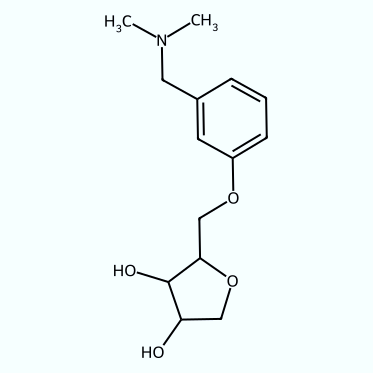 CN(C)Cc1cccc(OCC2OCC(O)C2O)c1